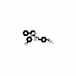 FC(F)(F)Oc1ccc(C=NNC2N=CC=C(c3ccccc3)N2c2ccc(Cl)cc2)cc1